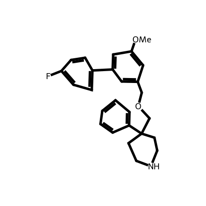 COc1cc(COCC2(c3ccccc3)CCNCC2)cc(-c2ccc(F)cc2)c1